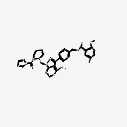 COc1ccc(F)cc1C(=O)NCc1ccc(-c2nn(C[C@@H]3CCCCN3C(=O)n3cncn3)c3ncnc(N)c23)cc1